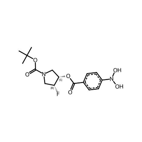 CC(C)(C)OC(=O)N1C[C@@H](F)[C@@H](OC(=O)c2ccc(N(O)O)cc2)C1